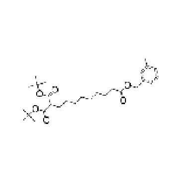 Cc1cccc(COC(=O)CCCCCCCCC(C(=O)OC(C)(C)C)C(=O)OC(C)(C)C)c1